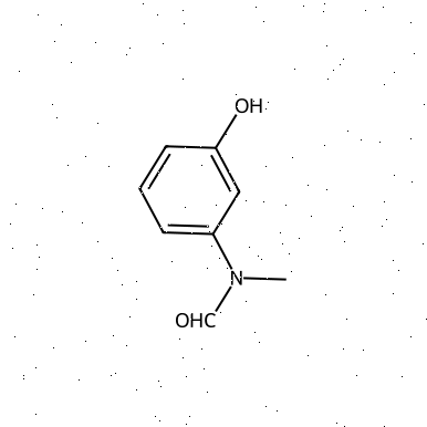 CN(C=O)c1cccc(O)c1